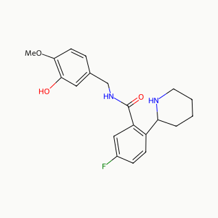 COc1ccc(CNC(=O)c2cc(F)ccc2C2CCCCN2)cc1O